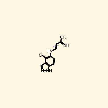 N=C(/C=C/Nc1ccc2[nH]ncc2c1Cl)C(F)(F)F